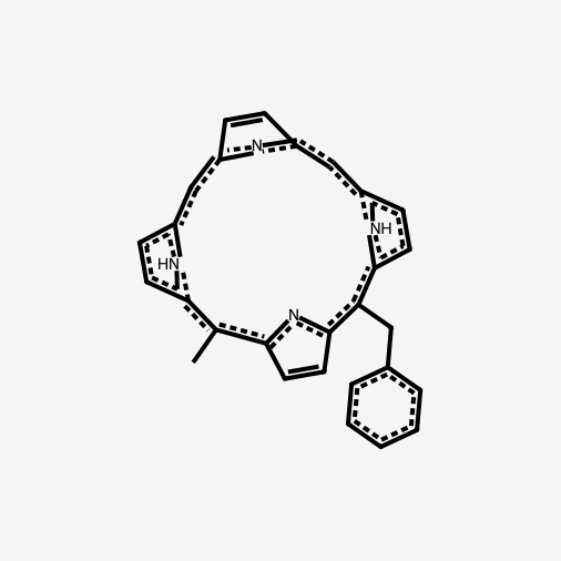 Cc1c2nc(c(Cc3ccccc3)c3ccc(cc4nc(cc5ccc1[nH]5)C=C4)[nH]3)C=C2